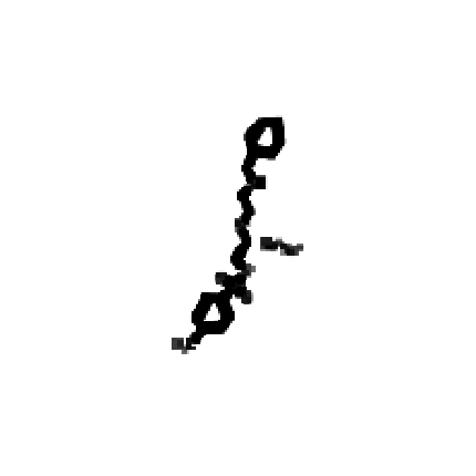 Cc1ccc(S(=O)(=O)[N-]CC[N-]CCNCc2ccccc2)cc1.[Na+].[Na+]